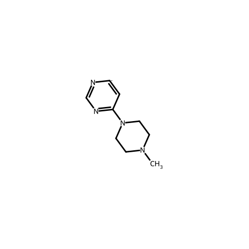 CN1CCN(c2c[c]ncn2)CC1